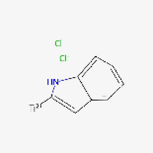 [Cl-].[Cl-].[Ti+2][c]1cc2ccccc2[nH]1